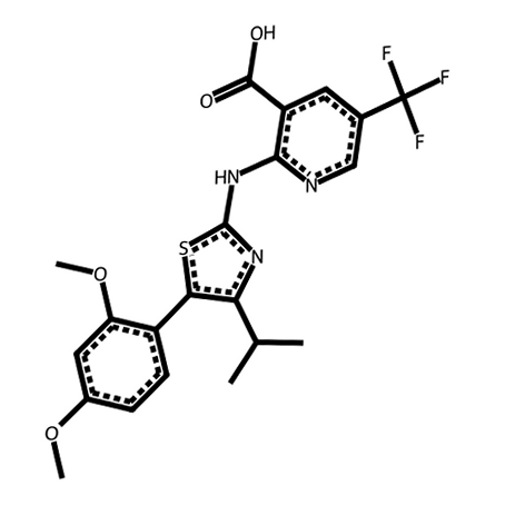 COc1ccc(-c2sc(Nc3ncc(C(F)(F)F)cc3C(=O)O)nc2C(C)C)c(OC)c1